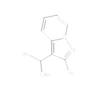 COC(c1c(C(C)C)nn2ccccc12)C(C)C